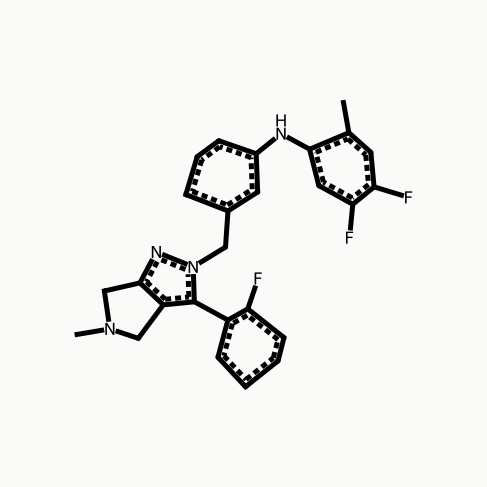 Cc1cc(F)c(F)cc1Nc1cccc(Cn2nc3c(c2-c2ccccc2F)CN(C)C3)c1